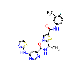 CC(NC(=O)c1cc(Nc2nccs2)ncn1)c1ncc(C(=O)Nc2ccc(F)c(C(F)(F)F)c2)s1